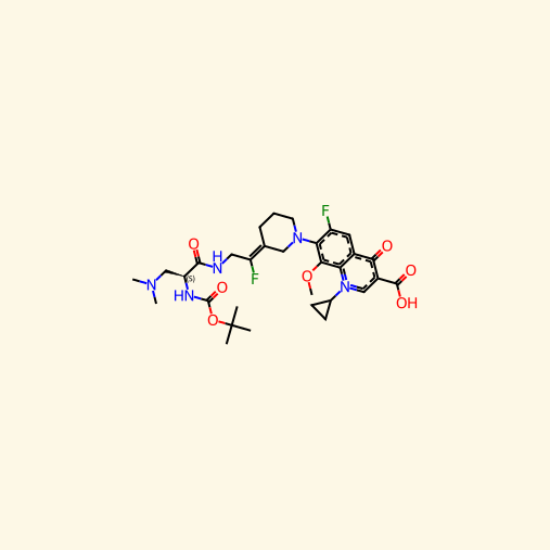 COc1c(N2CCCC(=C(F)CNC(=O)[C@H](CN(C)C)NC(=O)OC(C)(C)C)C2)c(F)cc2c(=O)c(C(=O)O)cn(C3CC3)c12